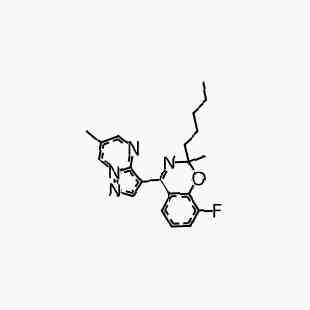 CCCCCC1(C)N=C(c2cnn3cc(C)cnc23)c2cccc(F)c2O1